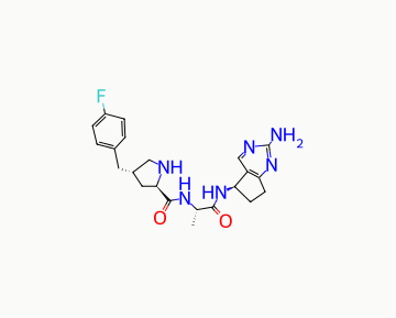 C[C@H](NC(=O)[C@H]1C[C@H](Cc2ccc(F)cc2)CN1)C(=O)N[C@@H]1CCc2nc(N)ncc21